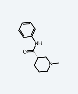 CN1CCC[C@H](C(=O)Nc2ccccc2)C1